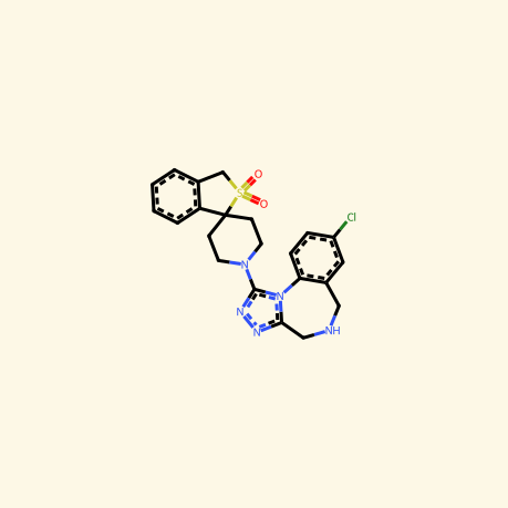 O=S1(=O)Cc2ccccc2C12CCN(c1nnc3n1-c1ccc(Cl)cc1CNC3)CC2